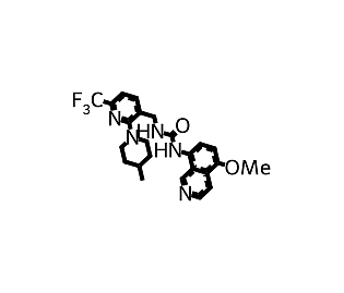 COc1ccc(NC(=O)NCc2ccc(C(F)(F)F)nc2N2CCC(C)CC2)c2cnccc12